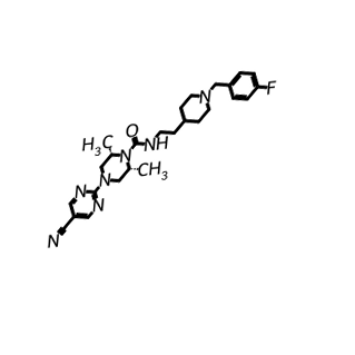 C[C@@H]1CN(c2ncc(C#N)cn2)C[C@H](C)N1C(=O)NCCC1CCN(Cc2ccc(F)cc2)CC1